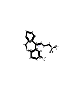 CCN(CC)CC/C=C1/c2ccccc2COc2ccc(Br)cc21